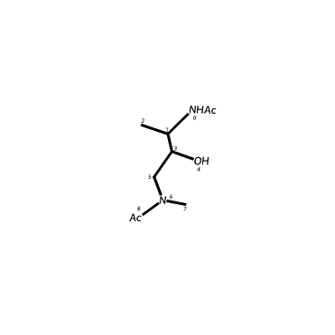 CC(=O)NC(C)C(O)CN(C)C(C)=O